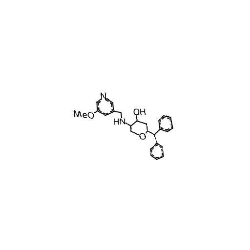 COc1cncc(CNC2COC(C(c3ccccc3)c3ccccc3)CC2O)c1